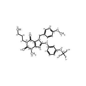 COc1ccc(Cn2c(Oc3cccc(OC(F)(F)F)c3)nc3c2c(=O)n(CCCO)c(=O)n3C)cn1